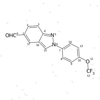 O=Cc1ccc2nn(-c3ccc(OC(F)(F)F)cc3)cc2c1